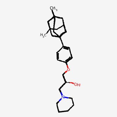 CC12CC3CC(C)(C1)CC(c1ccc(OC[C@@H](O)CN4CCCCC4)cc1)(C3)C2